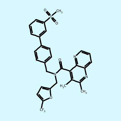 Cc1nc2cccnc2c(C(=O)N(Cc2ccc(-c3cccc(S(C)(=O)=O)c3)cc2)Cc2ccc(C(F)(F)F)o2)c1C